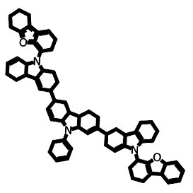 C1=CCCC(N2C3C=C(C4CC=C5C(C4)C4=C(CCCC4)N5C4CCCC5=C4OC4C=CC=CC54)CCC3C3CC(C4C=C5C6CCC=CC6N(C6=c7oc8c(c7=CCC6)CCCC8)C5CC4)C=CC32)=C1